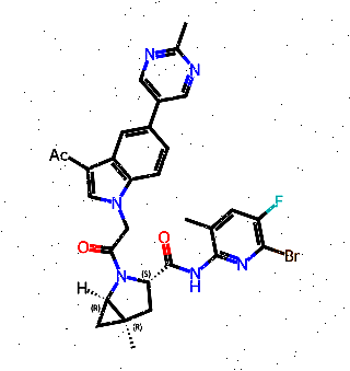 CC(=O)c1cn(CC(=O)N2[C@H](C(=O)Nc3nc(Br)c(F)cc3C)C[C@@]3(C)C[C@@H]23)c2ccc(-c3cnc(C)nc3)cc12